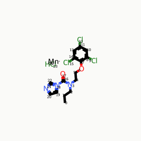 CCCN(CCOc1c(Cl)cc(Cl)cc1Cl)C(=O)n1ccnc1.Cl.[Mn]